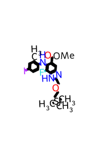 COC(=O)c1cc2nc(COCC[Si](C)(C)C)[nH]c2c(F)c1Nc1ccc(I)cc1C